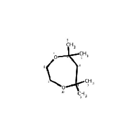 CC1(C)CC(C)(C)OCCO1